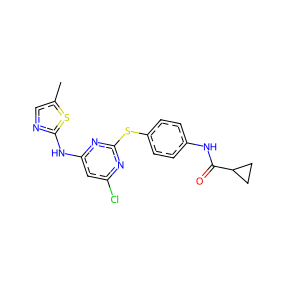 Cc1cnc(Nc2cc(Cl)nc(Sc3ccc(NC(=O)C4CC4)cc3)n2)s1